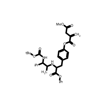 C=C(CC(=O)OC)C(=O)Oc1ccc(CC(NC(C)C(NC(=O)OC(C)(C)C)C(C)C)C(=O)OC(C)C)cc1